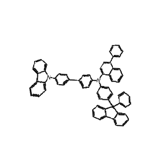 c1ccc(-c2ccc(N(c3ccc(-c4ccc(-n5c6ccccc6c6ccccc65)cc4)cc3)c3ccc(C4(c5ccccc5)c5ccccc5-c5ccccc54)cc3)c3ccccc23)cc1